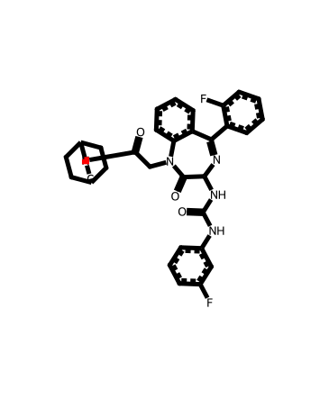 O=C(Nc1cccc(F)c1)NC1N=C(c2ccccc2F)c2ccccc2N(CC(=O)N2CC3CCC(CC3)C2)C1=O